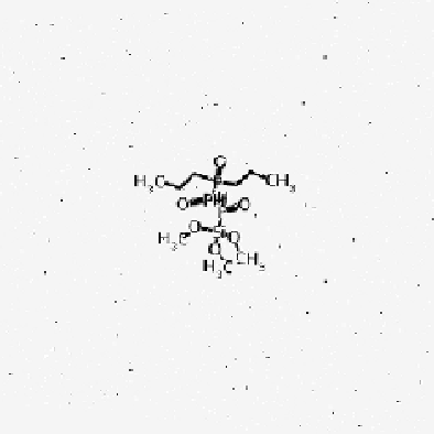 CCCP(=O)(CCC)[PH](=O)[PH](=O)[Si](OC)(OC)OC